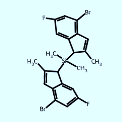 CC1=Cc2c(Br)cc(F)cc2C1[Si](C)(C)C1C(C)=Cc2c(Br)cc(F)cc21